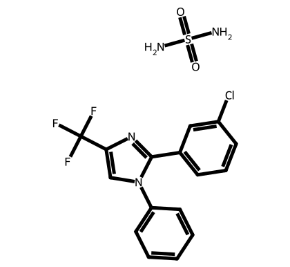 FC(F)(F)c1cn(-c2ccccc2)c(-c2cccc(Cl)c2)n1.NS(N)(=O)=O